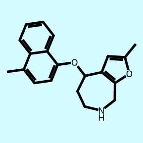 Cc1cc2c(o1)CNCCC2Oc1ccc(C)c2ccccc12